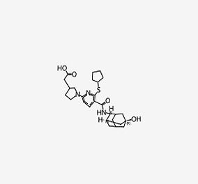 O=C(O)CC1CCN(c2ccc(C(=O)N[C@H]3C4CC5C[C@@H]3C[C@@](O)(C5)C4)c(SC3CCCC3)n2)C1